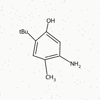 Cc1cc(C(C)(C)C)c(O)cc1N